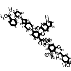 CC(C)c1ccccc1[C@H]1CCCN1C1CC2(CCN(c3ccc(C(=O)NS(=O)(=O)c4cc5c(c([N+](=O)[O-])c4)N[C@@H]([C@H]4CC[C@](C)(O)CC4)CO5)c(Oc4cc5cc[nH]c5nc4O)c3)CC2)C1